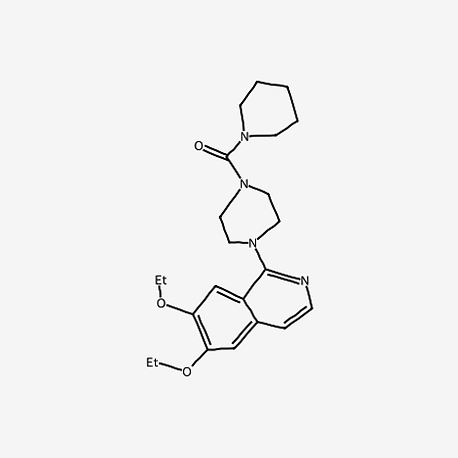 CCOc1cc2ccnc(N3CCN(C(=O)N4CCCCC4)CC3)c2cc1OCC